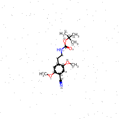 COc1cc(CCNC(=O)OC(C)(C)C)c(OC)cc1C#N